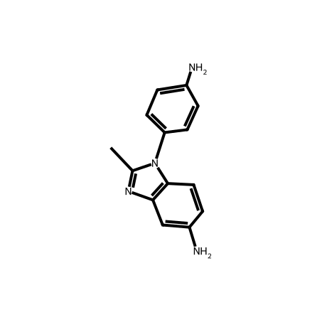 Cc1nc2cc(N)ccc2n1-c1ccc(N)cc1